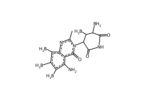 Bc1c(B)c(N)c2c(=O)n(C3C(=O)NC(=O)C(B)C3B)c(C)nc2c1B